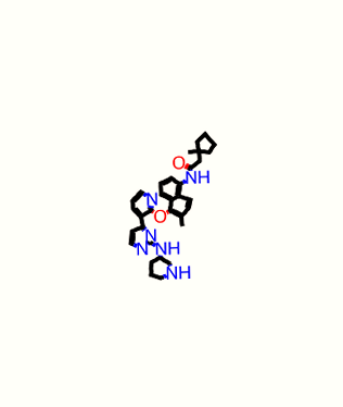 Cc1ccc2c(NC(=O)CC3(C)CCCC3)cccc2c1Oc1ncccc1-c1ccnc(NC2CCCNC2)n1